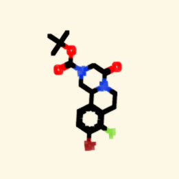 CC(C)(C)OC(=O)N1CC(=O)N2CCc3c(ccc(Br)c3F)C2C1